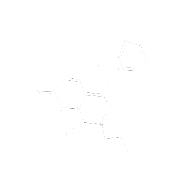 CCOC(=O)CCC(=O)C(C)n1cc([N+](=O)[O-])ccc1=NS(=O)(=O)c1ccc(C)cc1